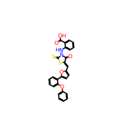 O=C(O)c1ccccc1NN1C(=O)C(=Cc2ccc(-c3ccccc3Oc3ccccc3)o2)SC1=S